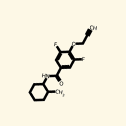 C#CCOc1c(F)cc(C(=O)NC2CCCCC2C)cc1F